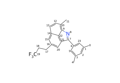 Cc1cc(C)cc(C2=Nc3c(C)ccc4cc(CCC(F)(F)F)cc2c34)c1